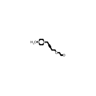 CN1CCN(CC#CCCOCC=O)CC1